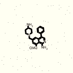 COc1cc(CN2CCC(N)CC2)cc2c(-c3ccccc3)cnc(N)c12